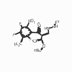 CCCCOC(=O)/C(=C/NNCC)C(=O)c1c(F)c(C)c(F)c(F)c1[N+](=O)[O-]